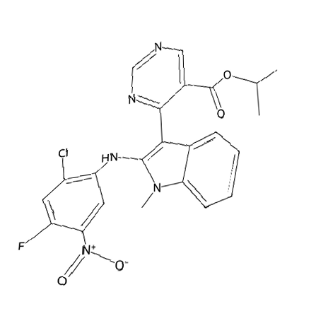 CC(C)OC(=O)c1cncnc1-c1c(Nc2cc([N+](=O)[O-])c(F)cc2Cl)n(C)c2ccccc12